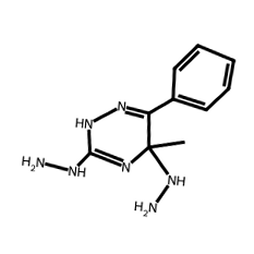 CC1(NN)N=C(NN)NN=C1c1ccccc1